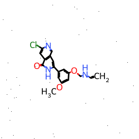 C=CNCOc1cc(OC)cc(-c2cc3cnc(Cl)cc3c(=O)[nH]2)c1